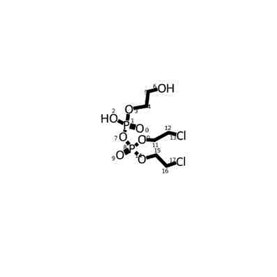 O=P(O)(OCCO)OP(=O)(OCCCl)OCCCl